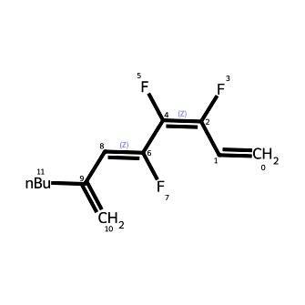 C=C/C(F)=C(F)\C(F)=C\C(=C)CCCC